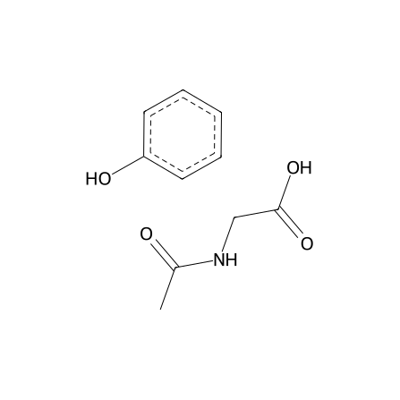 CC(=O)NCC(=O)O.Oc1ccccc1